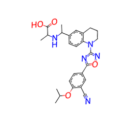 CC(C)Oc1ccc(-c2nc(N3CCCc4cc(C(C)NC(C)C(=O)O)ccc43)no2)cc1C#N